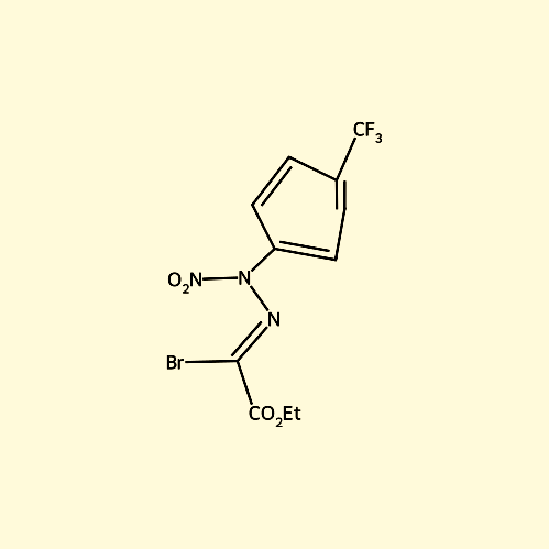 CCOC(=O)C(Br)=NN(c1ccc(C(F)(F)F)cc1)[N+](=O)[O-]